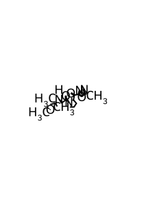 COCC(C)(C)NCC(=O)N1CCCC1C(=O)c1nnc(C)o1